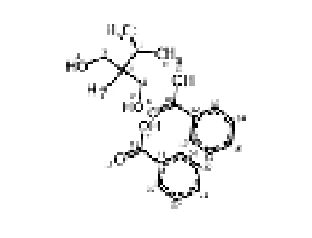 CC(C)C(C)(CO)CO.O=C(O)c1ccccc1.O=C(O)c1ccccc1